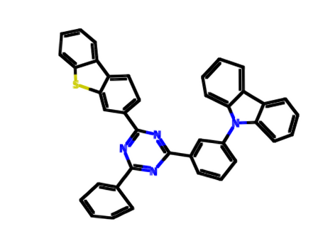 c1ccc(-c2nc(-c3cccc(-n4c5ccccc5c5ccccc54)c3)nc(-c3ccc4c(c3)sc3ccccc34)n2)cc1